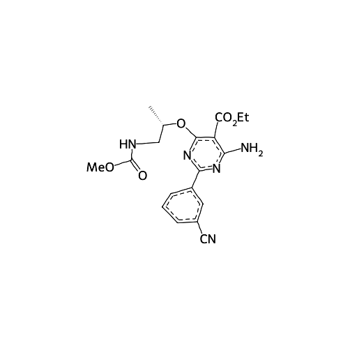 CCOC(=O)c1c(N)nc(-c2cccc(C#N)c2)nc1O[C@@H](C)CNC(=O)OC